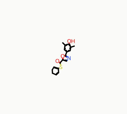 Cc1cc(-c2ncc(C(=O)SC3=CCCC=C3)o2)cc(C)c1O